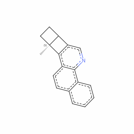 C[C@]12CCC1c1cnc3c(ccc4ccccc43)c12